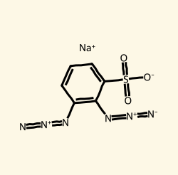 [N-]=[N+]=Nc1cccc(S(=O)(=O)[O-])c1N=[N+]=[N-].[Na+]